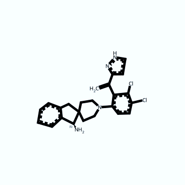 C=C(c1cc[nH]n1)c1c(N2CCC3(CC2)Cc2ccccc2[C@H]3N)ccc(Cl)c1Cl